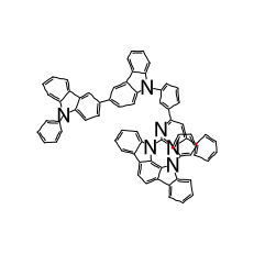 c1ccc(-c2cc(-c3cccc(-n4c5ccccc5c5cc(-c6ccc7c(c6)c6ccccc6n7-c6ccccc6)ccc54)c3)nc(-n3c4ccccc4c4ccc5c6ccccc6n(-c6ccccc6)c5c43)n2)cc1